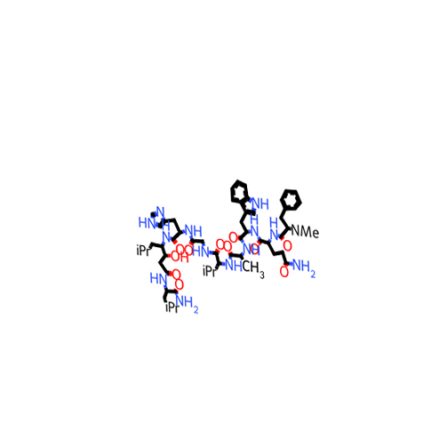 CNC(Cc1ccccc1)C(=O)NC(CCC(N)=O)C(=O)NC(Cc1c[nH]c2ccccc12)C(=O)NC(C)C(=O)NC(C(=O)NCC(=O)NC(Cc1c[nH]cn1)C(=O)NC(CC(C)C)C(O)CC(=O)NC(CC(C)C)C(N)=O)C(C)C